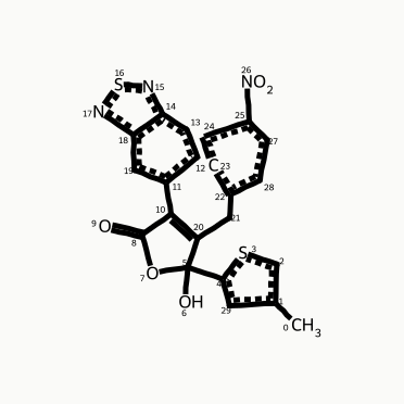 Cc1csc(C2(O)OC(=O)C(c3ccc4nsnc4c3)=C2Cc2ccc([N+](=O)[O-])cc2)c1